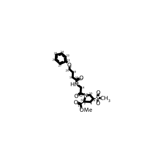 COC(=O)[C@@H]1C[C@@H](S(C)(=O)=O)CN1C(=O)CNC(=O)CCCOc1ccccc1